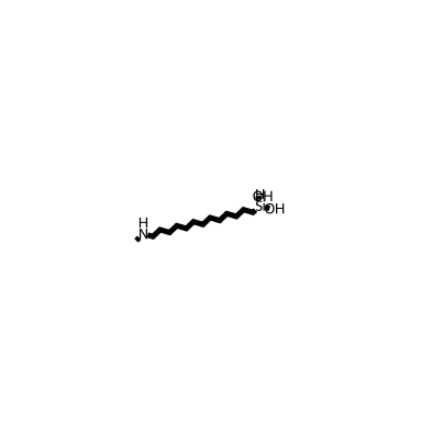 CNCCCCCCCCCCCCC[SiH](O)O